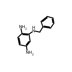 Nc1ccc(N)c(NCc2ccccc2)c1